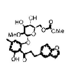 COC(=O)OC[C@H]1O[C@@H](Oc2cc(C)cc(O)c2C(=O)CCc2ccc3occc3c2)C(OC)[C@@H](O)[C@@H]1O